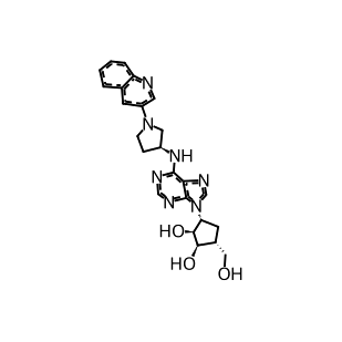 OC[C@H]1C[C@@H](n2cnc3c(N[C@H]4CCN(c5cnc6ccccc6c5)C4)ncnc32)[C@H](O)[C@@H]1O